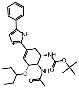 CCC(CC)O[C@@H]1C=C(c2ncc(-c3ccccc3)[nH]2)C[C@H](NC(=O)OC(C)(C)C)[C@H]1NC(C)=O